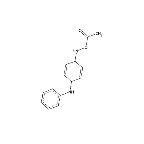 CC(=O)ONC1C=CC(Nc2ccccc2)C=C1